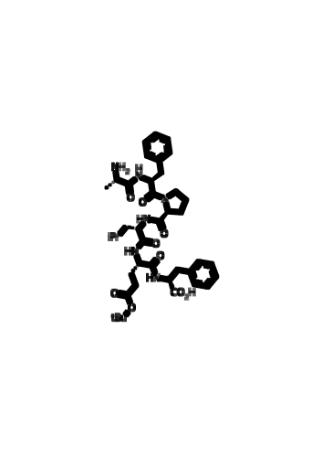 CC(C)C[C@H](NC(=O)[C@@H]1CCCN1C(=O)[C@H](Cc1ccccc1)NC(=O)[C@H](C)N)C(=O)N[C@@H](CCC(=O)OC(C)(C)C)C(=O)N[C@@H](Cc1ccccc1)C(=O)O